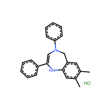 Cc1cc2c(cc1C)NC(c1ccccc1)=CN(c1ccccc1)C2.Cl